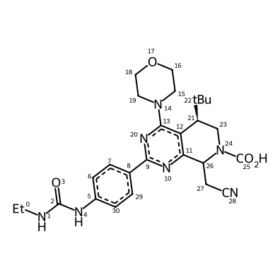 CCNC(=O)Nc1ccc(-c2nc3c(c(N4CCOCC4)n2)[C@@H](C(C)(C)C)CN(C(=O)O)C3CC#N)cc1